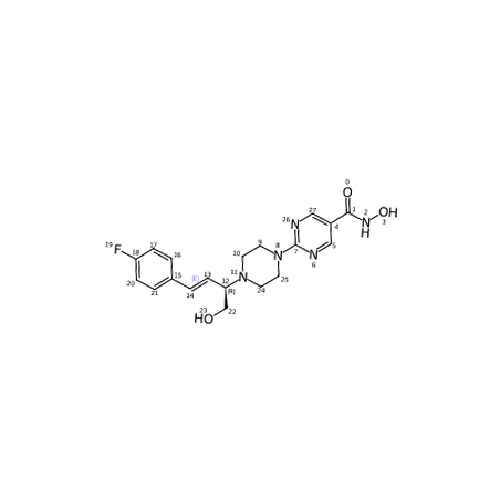 O=C(NO)c1cnc(N2CCN([C@H](/C=C/c3ccc(F)cc3)CO)CC2)nc1